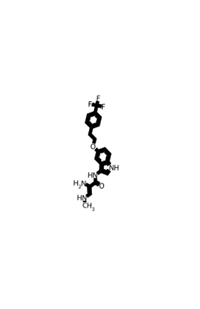 CN/C=C(\N)C(=O)Nc1c[nH]c2ccc(OCCc3ccc(C(F)(F)F)cc3)cc12